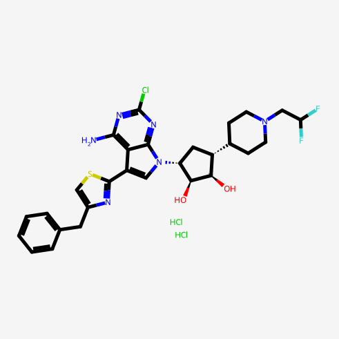 Cl.Cl.Nc1nc(Cl)nc2c1c(-c1nc(Cc3ccccc3)cs1)cn2[C@@H]1C[C@H](C2CCN(CC(F)F)CC2)[C@@H](O)[C@H]1O